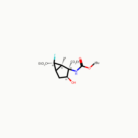 CCOC(=O)[C@@]1(NC(=O)OC(C)(C)C)[C@H]2C(C[C@@H]1O)[C@]2(F)C(=O)OCC